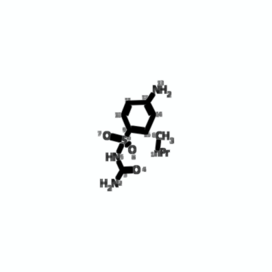 CCCC.NC(=O)NS(=O)(=O)c1ccc(N)cc1